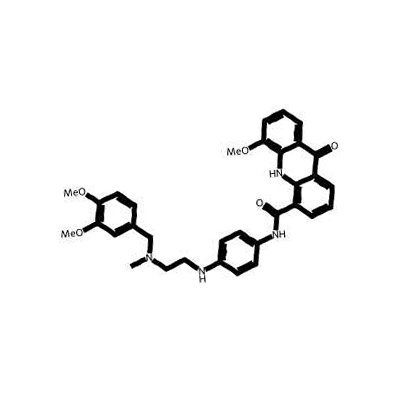 COc1ccc(CN(C)CCNc2ccc(NC(=O)c3cccc4c(=O)c5cccc(OC)c5[nH]c34)cc2)cc1OC